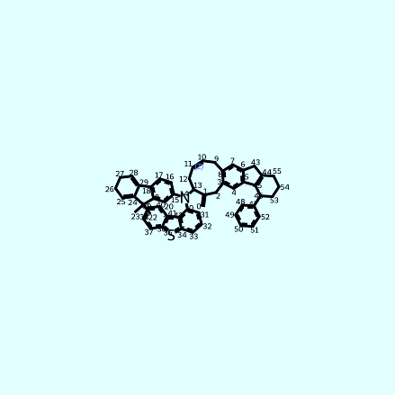 C=C1Cc2cc3c(cc2C/C=C\CC1N(c1ccc2c(c1)C(C)(C)C1=CCCC=C12)c1cccc2sc4ccccc4c12)CC1=C3C(c2ccccc2)CCC1